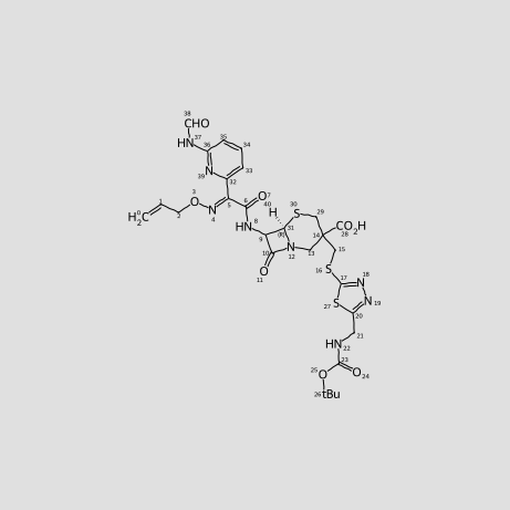 C=CCON=C(C(=O)NC1C(=O)N2CC(CSc3nnc(CNC(=O)OC(C)(C)C)s3)(C(=O)O)CS[C@H]12)c1cccc(NC=O)n1